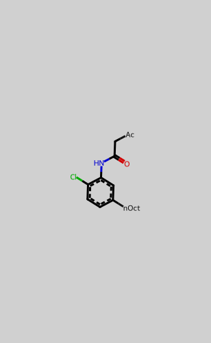 CCCCCCCCc1ccc(Cl)c(NC(=O)CC(C)=O)c1